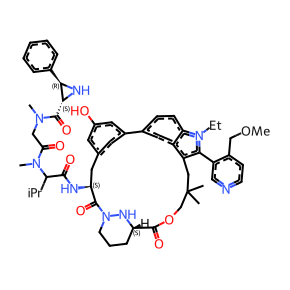 CCn1c(-c2cnccc2COC)c2c3cc(ccc31)-c1cc(O)cc(c1)C[C@H](NC(=O)C(C(C)C)N(C)C(=O)CN(C)C(=O)[C@H]1N[C@@H]1c1ccccc1)C(=O)N1CCC[C@H](N1)C(=O)OCC(C)(C)C2